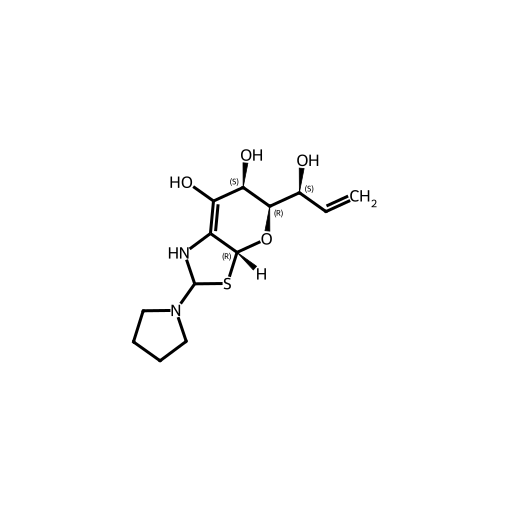 C=C[C@H](O)[C@H]1O[C@@H]2SC(N3CCCC3)NC2=C(O)[C@H]1O